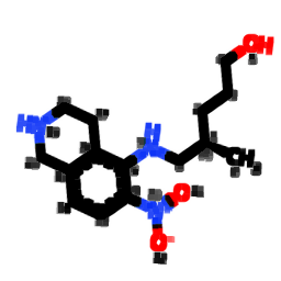 C[C@H](CCCO)CNc1c([N+](=O)[O-])ccc2c1CCNC2